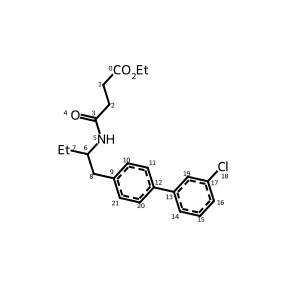 CCOC(=O)CCC(=O)NC(CC)Cc1ccc(-c2cccc(Cl)c2)cc1